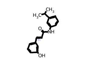 CC(C)c1cccc(NC(=O)/C=C/c2cccc(O)c2)c1